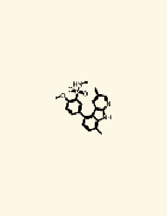 CNS(=O)(=O)c1cc(-c2ccc(C)c3[nH]c4ncc(C)cc4c23)ccc1OC